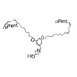 CCCCC/C=C\C/C=C\CCCCCCCCOc1cc(CN2CC(O)C2)cc(OCCCCCCCC/C=C\C/C=C\CCCCC)c1